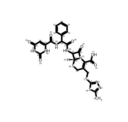 Cc1nnc(SCC2=C(C(=O)O)N3C(=O)C(NC(=O)C(NC(=O)c4cc(=O)[nH]c(=O)[nH]4)c4ccccc4)[C@H]3SC2)s1